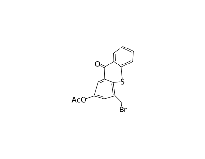 CC(=O)Oc1cc(CBr)c2sc3ccccc3c(=O)c2c1